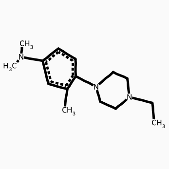 CCN1CCN(c2ccc(N(C)C)cc2C)CC1